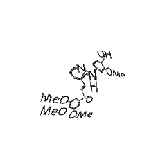 COc1cc(Nc2ncccc2/C=C/C(=O)c2cc(OC)c(OC)c(OC)c2)ccc1CO